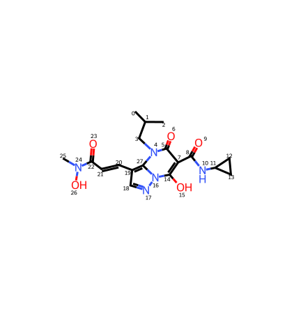 CC(C)Cn1c(=O)c(C(=O)NC2CC2)c(O)n2ncc(C=CC(=O)N(C)O)c12